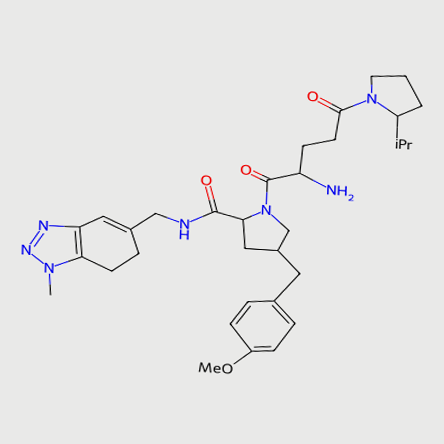 COc1ccc(CC2CC(C(=O)NCC3=Cc4nnn(C)c4CC3)N(C(=O)C(N)CCC(=O)N3CCCC3C(C)C)C2)cc1